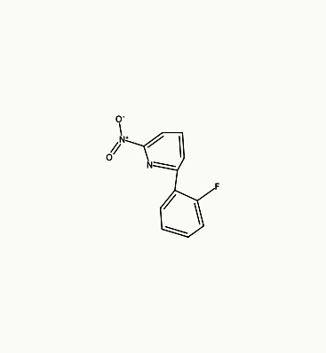 O=[N+]([O-])c1cccc(-c2ccccc2F)n1